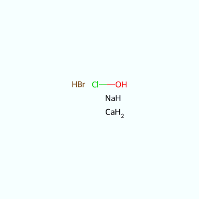 Br.OCl.[CaH2].[NaH]